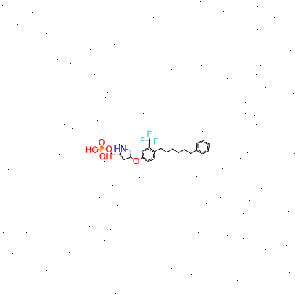 O=P(O)(O)OC[C@H]1C[C@H](Oc2ccc(CCCCCCc3ccccc3)c(C(F)(F)F)c2)CN1